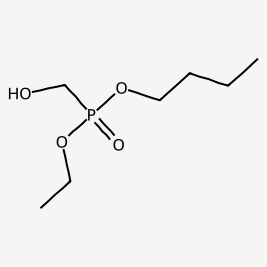 CCCCOP(=O)(CO)OCC